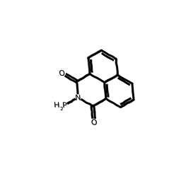 O=C1c2cccc3cccc(c23)C(=O)N1P